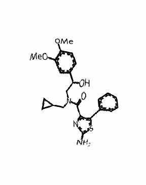 COc1ccc(C(O)CN(CC2CC2)C(=O)c2nc(N)sc2-c2ccccc2)cc1OC